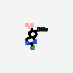 Bc1cc2cnc(Cl)nc2cc1OC